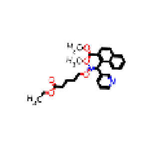 CCOC(=O)CCCCON=C(c1cccnc1)c1c(C(OC)OC)ccc2ccccc12